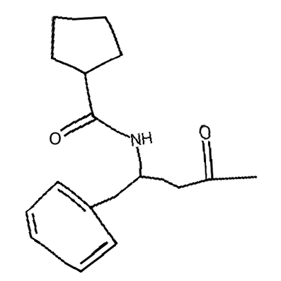 CC(=O)CC(NC(=O)C1CCCC1)c1ccccc1